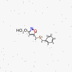 O=C(O)c1cc(CSCc2ccccc2)on1